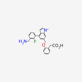 Cn1ccc2c(-c3cccc(CN)c3F)cc(COc3ccccc3CC(=O)O)cc21